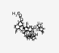 C#Cc1c(F)ccc2cc(OCOC)cc(-c3nc4c5c(nc(OC[C@@]67CCCN6C[C@H](F)C7)nc5c3F)N3C[C@H]5CC[C@H](N5)[C@H]3CCC4)c12